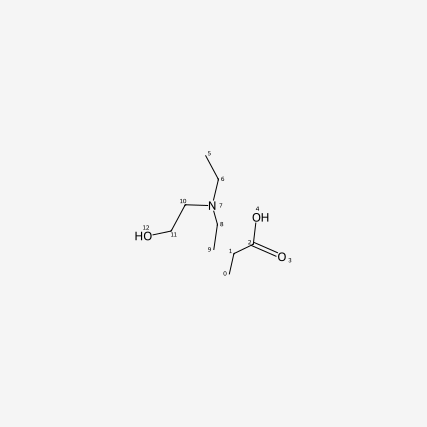 CCC(=O)O.CCN(CC)CCO